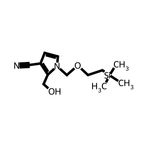 C[Si](C)(C)CCOCn1ccc(C#N)c1CO